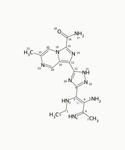 CCN/C(=C(/N)C(C)=N)c1n[nH]c(-c2nc(C(N)=O)n3cc(C)ncc23)n1